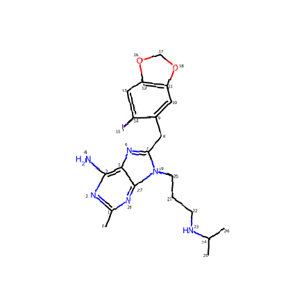 Cc1nc(N)c2nc(Cc3cc4c(cc3I)OCO4)n(CCCNC(C)C)c2n1